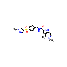 C=N/C=C\c1[nH]c(C(O)NCc2ccc(S(=O)(=O)c3cnn(C)c3)cc2)cc1C